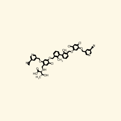 Cc1c(COc2cc(OCc3cncc(C#N)c3)c(Cl)cc2Cl)cccc1-c1cccc(COc2cc(OCc3cncc(C4C=N4)c3)c(CN[C@H](C(=O)O)[C@@H](C)O)cc2Cl)c1C